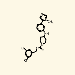 Cn1cncc1-c1cccc(NC2CCN(C(=O)OCc3cc(Cl)cc(Cl)c3)CC2)c1